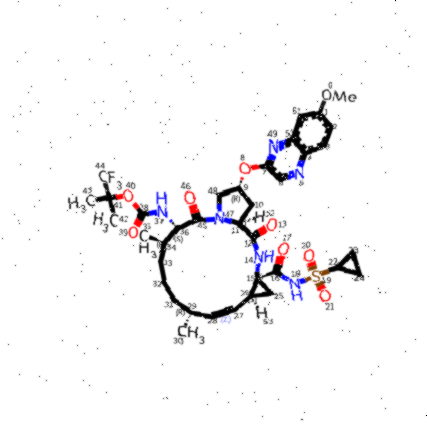 COc1ccc2ncc(O[C@@H]3C[C@H]4C(=O)N[C@]5(C(=O)NS(=O)(=O)C6CC6)C[C@H]5/C=C\[C@H](C)CCC[C@@H](C)[C@H](NC(=O)OC(C)(C)C(F)(F)F)C(=O)N4C3)nc2c1